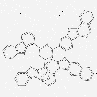 c1ccc2cc3c(cc2c1)c1c2ccccc2ccc1n3-c1cc2c(cc1C1=NC(c3cccc4c3sc3ccccc34)CC(c3cccc4c3sc3ccccc34)=N1)oc1c3ccccc3ccc21